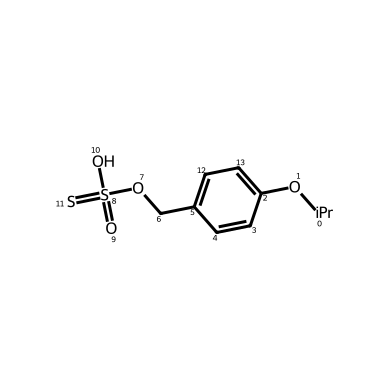 CC(C)Oc1ccc(COS(=O)(O)=S)cc1